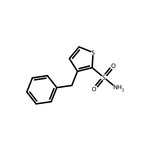 NS(=O)(=O)c1sccc1Cc1ccccc1